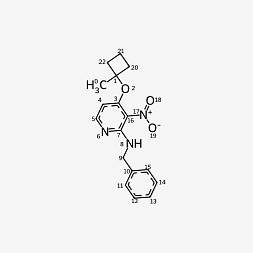 CC1(Oc2ccnc(NCc3ccccc3)c2[N+](=O)[O-])CCC1